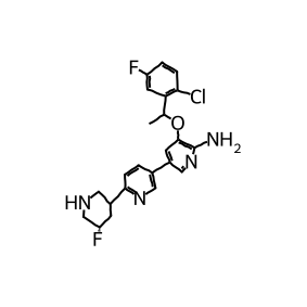 CC(Oc1cc(-c2ccc(C3CNC[C@@H](F)C3)nc2)cnc1N)c1cc(F)ccc1Cl